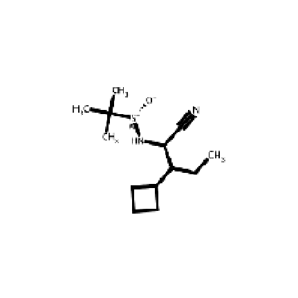 CCC(C1CCC1)C(C#N)N[S@@+]([O-])C(C)(C)C